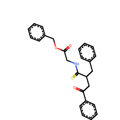 O=C(CNC(=S)C(CC(=O)c1ccccc1)Cc1ccccc1)OCc1ccccc1